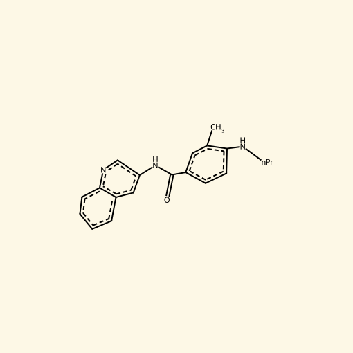 CCCNc1ccc(C(=O)Nc2cnc3ccccc3c2)cc1C